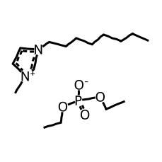 CCCCCCCCn1cc[n+](C)c1.CCOP(=O)([O-])OCC